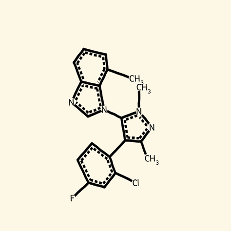 Cc1nn(C)c(-n2cnc3cccc(C)c32)c1-c1ccc(F)cc1Cl